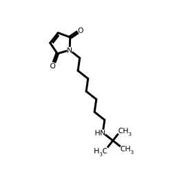 CC(C)(C)NCCCCCCCN1C(=O)C=CC1=O